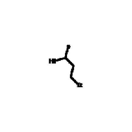 CCCCC([S])S